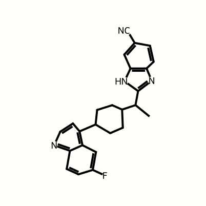 CC(c1nc2ccc(C#N)cc2[nH]1)C1CCC(c2ccnc3ccc(F)cc23)CC1